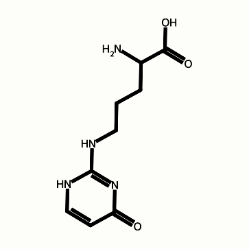 NC(CCCNc1nc(=O)cc[nH]1)C(=O)O